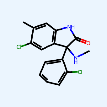 CNC1(c2ccccc2Cl)C(=O)Nc2cc(C)c(Cl)cc21